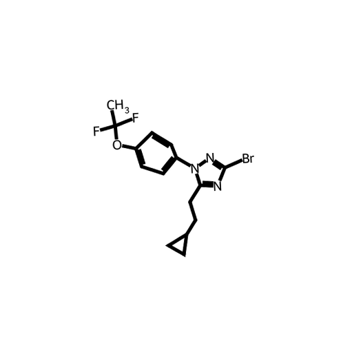 CC(F)(F)Oc1ccc(-n2nc(Br)nc2CCC2CC2)cc1